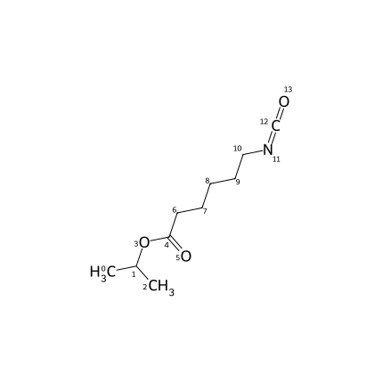 CC(C)OC(=O)CCCCCN=C=O